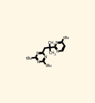 CC(C)(C)c1ccnc(C(C)(C)Cc2nc(C(C)(C)C)nc(C(C)(C)C)n2)n1